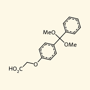 COC(OC)(c1ccccc1)c1ccc(OCC(=O)O)cc1